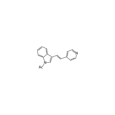 CC(=O)n1cc(/C=C/c2ccncc2)c2ccccc21